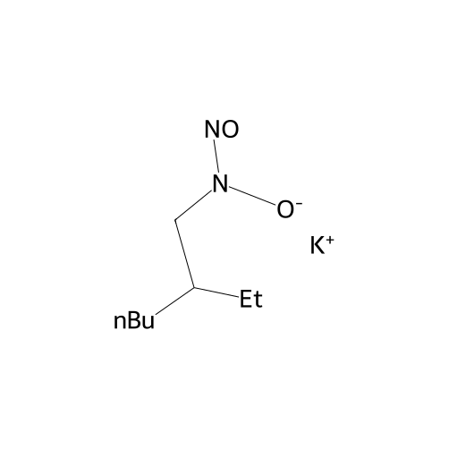 CCCCC(CC)CN([O-])N=O.[K+]